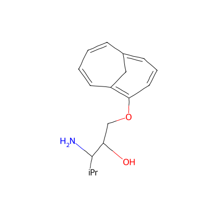 CC(C)C(N)C(O)COC1=C2C=CC=CC(=CC=C1)C2